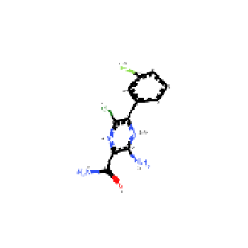 NC(=O)c1nc(Cl)c(-c2cccc(F)c2)nc1N